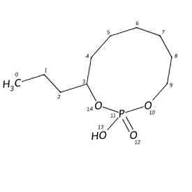 CCCC1CCCCCCOP(=O)(O)O1